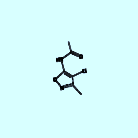 CC(=O)Nc1onc(C)c1Cl